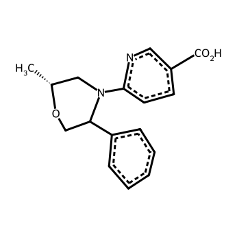 C[C@@H]1CN(c2ccc(C(=O)O)cn2)C(c2ccccc2)CO1